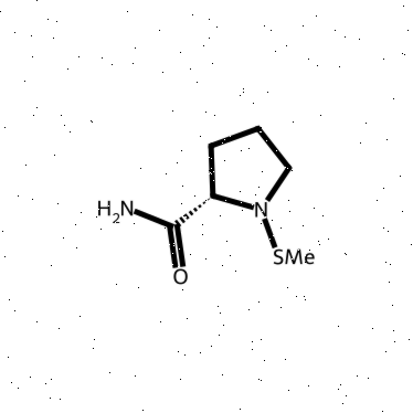 CSN1CCC[C@H]1C(N)=O